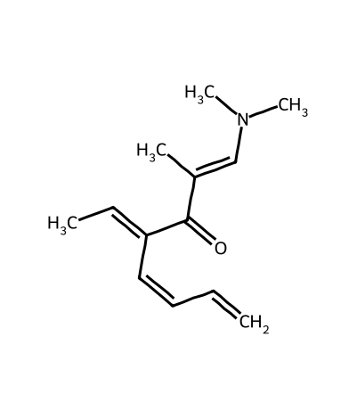 C=C/C=C\C(=C/C)C(=O)/C(C)=C/N(C)C